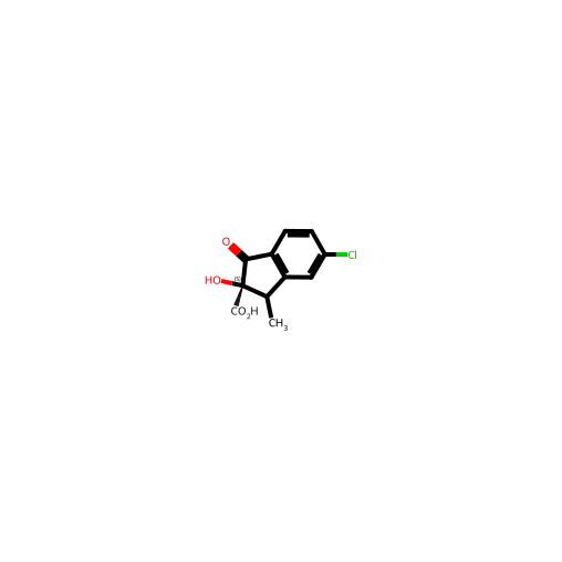 CC1c2cc(Cl)ccc2C(=O)[C@]1(O)C(=O)O